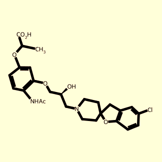 CC(=O)Nc1ccc(OC(C)C(=O)O)cc1OC[C@@H](O)CN1CCC2(CC1)Cc1cc(Cl)ccc1O2